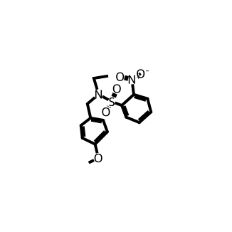 CCN(Cc1ccc(OC)cc1)S(=O)(=O)c1ccccc1[N+](=O)[O-]